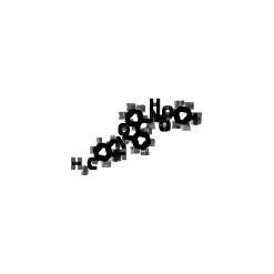 Cc1ccc(CNC(=O)c2ccccc2-c2ccccc2CNC(=O)Oc2ccc(F)cc2)c(F)c1